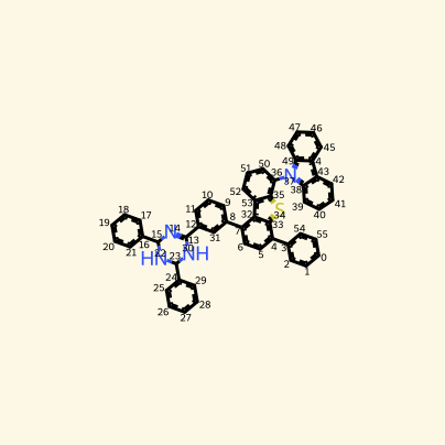 c1ccc(-c2ccc(-c3cccc(C4=NC(c5ccccc5)NC(c5ccccc5)N4)c3)c3c2sc2c(-n4c5ccccc5c5ccccc54)cccc23)cc1